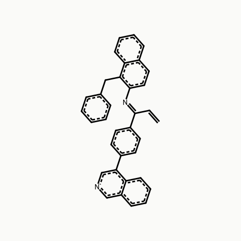 C=C/C(=N\c1ccc2ccccc2c1Cc1ccccc1)c1ccc(-c2cncc3ccccc23)cc1